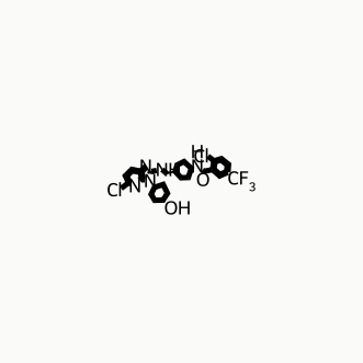 O=C(N[C@H]1CC[C@H](CNc2nc3ccc(Cl)nc3n2[C@H]2CC[C@H](O)CC2)CC1)c1cc(C(F)(F)F)ccc1Cl